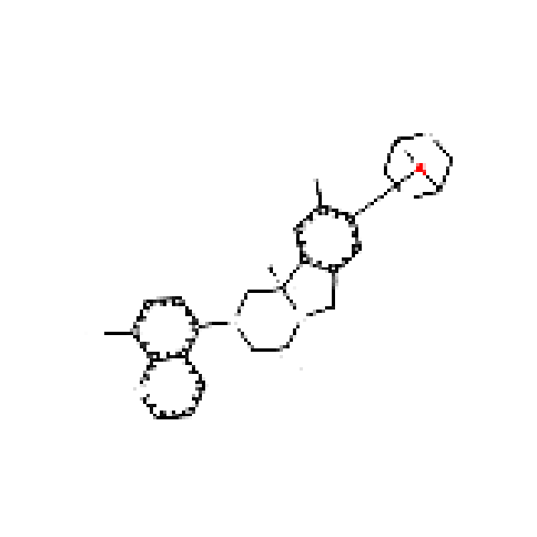 C[C@@H]1CN(c2ccc(C#N)c3ncccc23)C[C@@H]2c3cc(F)c(N4CC5COC(CN5)C4)cc3CN12